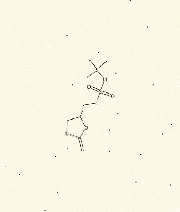 C[Si](C)(C)OS(=O)(=O)CCC1COC(=O)O1